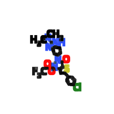 CN(C)c1nc2cc(N3CN(OC(=O)C(F)(F)F)c4cc(-c5ccc(Cl)cc5)sc4C3=O)ccc2[nH]1